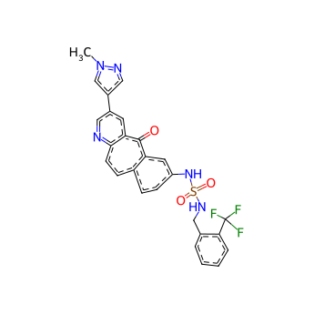 Cn1cc(-c2cnc3ccc4ccc(NS(=O)(=O)NCc5ccccc5C(F)(F)F)cc4c(=O)c3c2)cn1